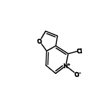 [O-][n+]1ccc2occc2c1Cl